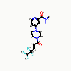 CNC(=O)c1cc(N2CCN(C(=O)C=CC(F)(F)C(F)F)CC2)ccn1